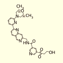 C[C@@H]1CN(c2cccc(-c3ccc4cnc(CNC(=O)c5cncc(S(=O)(=O)CCO)c5)cc4n3)n2)C[C@H](C)O1